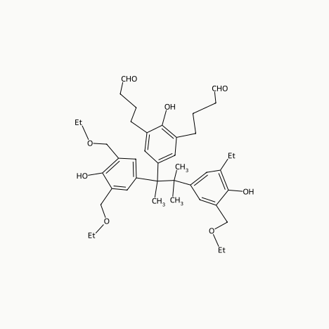 CCOCc1cc(C(C)(C)C(C)(c2cc(CCCC=O)c(O)c(CCCC=O)c2)c2cc(COCC)c(O)c(COCC)c2)cc(CC)c1O